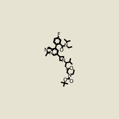 CCN(C(=O)c1cc(F)ccc1-c1cc(C2CN(C(C[C@@H]3CN(C(=O)OC(C)(C)C)CCO3)C(C)C)C2)cn2c(C)ncc12)C(C)C